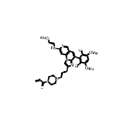 C=CC(=O)N1CCN(CCCc2cn3c(n2)c(-c2c(Cl)c(OC)cc(OC)c2Cl)cc2cnc(NCCOC)cc23)CC1